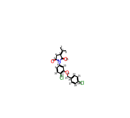 CC(C)=C1CC(=O)N(c2ccc(Cl)c(OCc3ccc(Cl)cc3)c2)C1=O